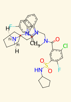 Cc1nc2ccccc2n1C1C[C@H]2CC[C@@H](C1)N2CCC1(c2cccc(F)c2)CCN(C(=O)c2cc(S(=O)(=O)NC3CCCC3)c(F)cc2Cl)CC1